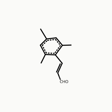 Cc1cc(C)c(C=CC=O)c(C)c1